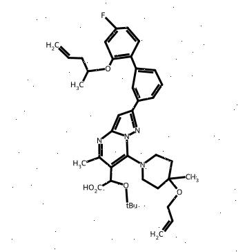 C=CCOC1(C)CCN(c2c(C(OC(C)(C)C)C(=O)O)c(C)nc3cc(-c4cccc(-c5ccc(F)cc5OC(C)CC=C)c4)nn23)CC1